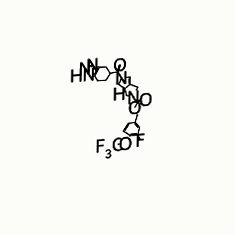 O=C(C1CCc2[nH]nnc2C1)N1C=C2CN(C(=O)OCc3ccc(OC(F)(F)F)c(F)c3)C[C@@H]2C1